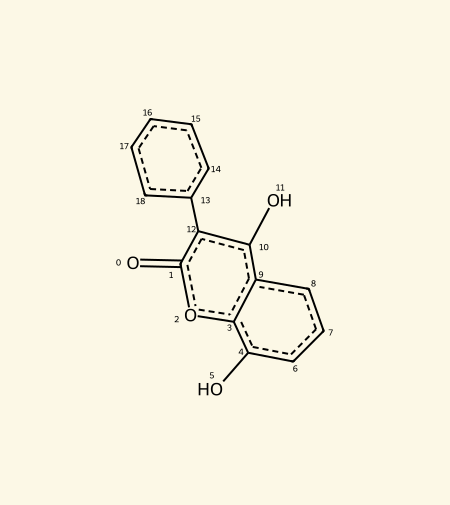 O=c1oc2c(O)cccc2c(O)c1-c1ccccc1